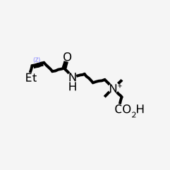 CC/C=C\CC(=O)NCCC[N+](C)(C)CC(=O)O